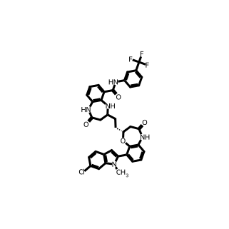 Cn1c(-c2cccc3c2O[C@H](CCC2CC(=O)Nc4cccc(C(=O)Nc5cccc(C(F)(F)F)c5)c4N2)CC(=O)N3)cc2ccc(Cl)cc21